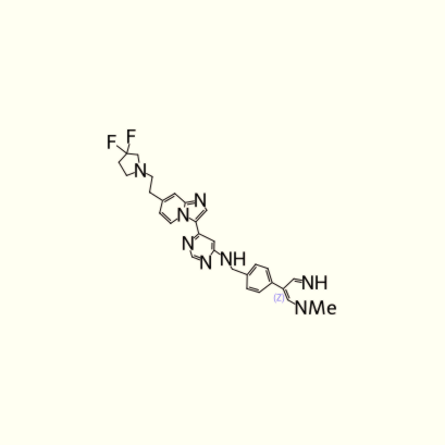 CN/C=C(\C=N)c1ccc(CNc2cc(-c3cnc4cc(CCN5CCC(F)(F)C5)ccn34)ncn2)cc1